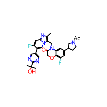 CC(=O)N1CCC(c2cc(F)c3c(c2)N(Cc2c(C)nc4cc(F)c(-c5cnc(C(C)(C)O)nc5)cn24)C(=O)CO3)C1